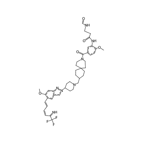 COc1cc2nn(C3CCN(CC4CCC5(CC4)CCN(C(=O)c4ccc(OC)c(NC(=O)CCNC=O)c4)CC5)CC3)cc2cc1/C=C/C=C\C(=N)C(F)(F)F